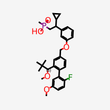 COc1ccc(F)c(-c2ccc(COc3cccc(C(CP(C)(=O)O)C4CC4)c3)cc2[C@@H](OC)C(C)(C)C)c1